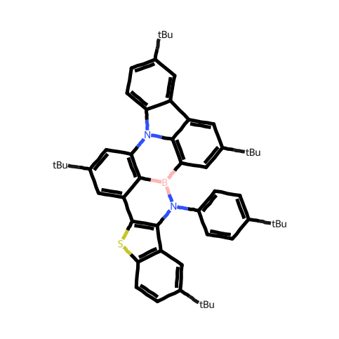 CC(C)(C)c1ccc(N2B3c4c(cc(C(C)(C)C)cc4-n4c5ccc(C(C)(C)C)cc5c5cc(C(C)(C)C)cc3c54)-c3sc4ccc(C(C)(C)C)cc4c32)cc1